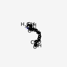 C[C@@]1(O)CC/C=C\Cn2c(=O)c3cnc(Nc4ccc(N5CCN(CC6CCC7(CC6)CCN(C(=O)c6ccc(Cl)c(C8CCC(=O)NC8=O)c6)CC7)CC5)cc4)nc3n2-c2cccc1n2